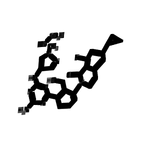 Cn1cc(Nc2nc(N)nc(-c3cccc(-n4ccc5cc(C6CC6)cc(F)c5c4=O)c3CO)n2)cn1.O=S(=O)(O)O